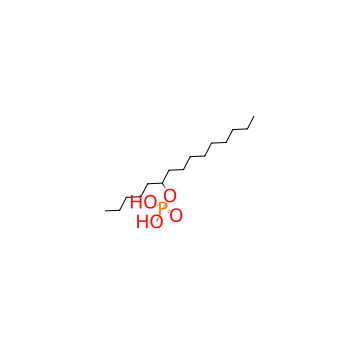 CCCCCCCCCC(CCCCC)OP(=O)(O)O